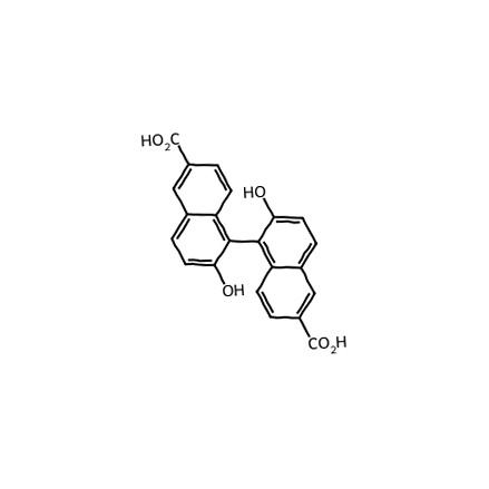 O=C(O)c1ccc2c(-c3c(O)ccc4cc(C(=O)O)ccc34)c(O)ccc2c1